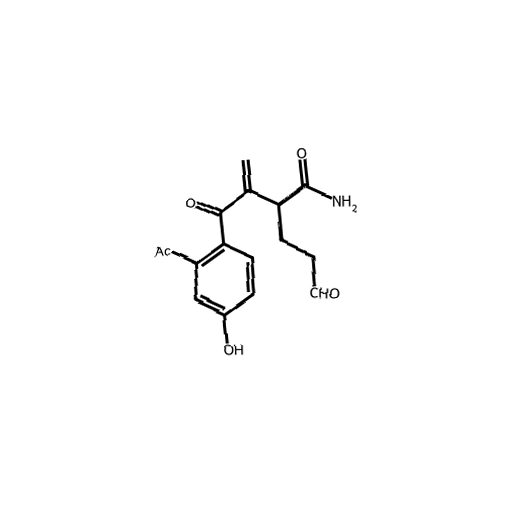 C=C(C(=O)c1ccc(O)cc1C(C)=O)C(CCC=O)C(N)=O